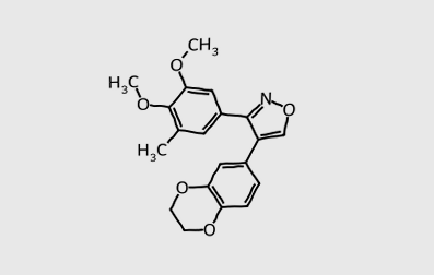 COc1cc(-c2nocc2-c2ccc3c(c2)OCCO3)cc(C)c1OC